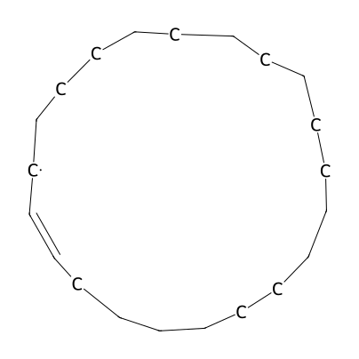 [CH]1C=CCCCCCCCCCCCCCCCCCC1